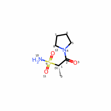 C[C@@H](C(=O)N1CCCC1)S(N)(=O)=O